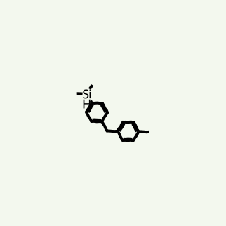 Cc1ccc(Cc2ccc([SiH](C)C)cc2)cc1